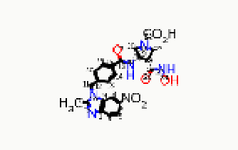 Cc1nc2ccc([N+](=O)[O-])cc2n1Cc1ccc(C(=O)N[C@@H]2CN(C(=O)O)C[C@@H]2C(=O)NO)cc1